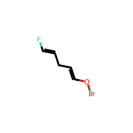 FC=CCC=COBr